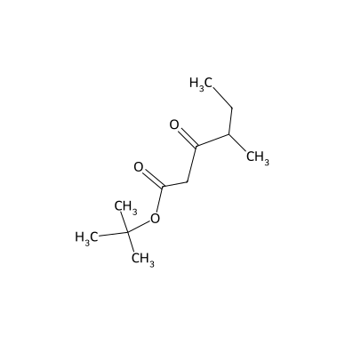 CCC(C)C(=O)CC(=O)OC(C)(C)C